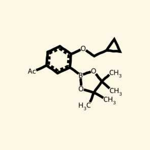 CC(=O)c1ccc(OCC2CC2)c(B2OC(C)(C)C(C)(C)O2)c1